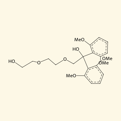 COc1cccc(OC)c1C(O)(COCCOCCO)c1c(OC)cccc1OC